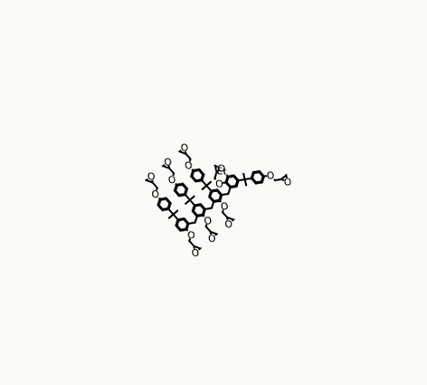 CCc1cc(C(C)(C)c2ccc(OCC3CO3)cc2)cc(Cc2cc(C(C)(C)c3ccc(OCC4CO4)cc3)cc(Cc3cc(C(C)(C)c4ccc(OCC5CO5)cc4)cc(Cc4cc(C(C)(C)c5ccc(OCC6CO6)cc5)ccc4OCC4CO4)c3OCC3CO3)c2OCC2CO2)c1OCC1CO1